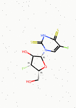 OC[C@H]1O[C@@H](n2cc(F)c(=S)[nH]c2=S)C(O)[C@H]1F